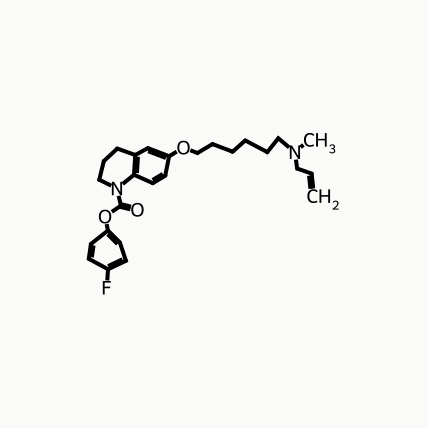 C=CCN(C)CCCCCCOc1ccc2c(c1)CCCN2C(=O)Oc1ccc(F)cc1